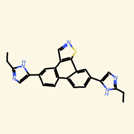 CCc1ncc(-c2ccc3c(c2)c2cnsc2c2cc(-c4cnc(CC)[nH]4)ccc32)[nH]1